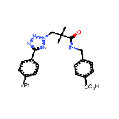 CCCc1ccc(-c2nnn(CC(C)(C)C(=O)NCc3ccc(C(=O)O)cc3)n2)cc1